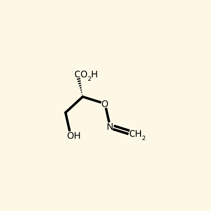 C=NO[C@H](CO)C(=O)O